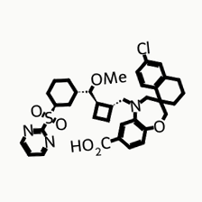 COC([C@H]1CCC[C@H](S(=O)(=O)c2ncccn2)C1)[C@@H]1CC[C@H]1CN1CC2(CCCc3cc(Cl)ccc32)COc2ccc(C(=O)O)cc21